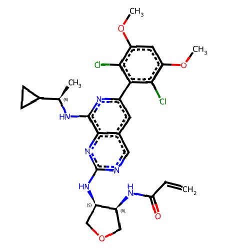 C=CC(=O)N[C@H]1COC[C@H]1Nc1ncc2cc(-c3c(Cl)c(OC)cc(OC)c3Cl)nc(N[C@H](C)C3CC3)c2n1